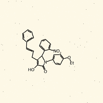 CCOc1ccc(N2C(=O)C(O)=C(CC=Cc3ccccc3)C2c2ccccc2[N+](=O)[O-])cc1